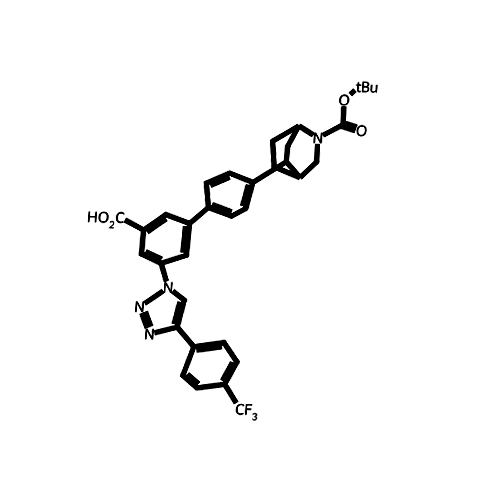 CC(C)(C)OC(=O)N1CC2CCC1CC2c1ccc(-c2cc(C(=O)O)cc(-n3cc(-c4ccc(C(F)(F)F)cc4)nn3)c2)cc1